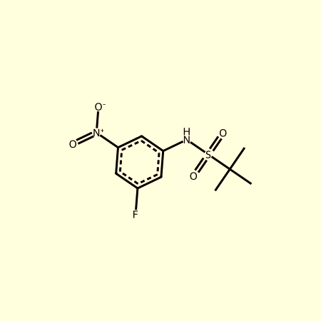 CC(C)(C)S(=O)(=O)Nc1cc(F)cc([N+](=O)[O-])c1